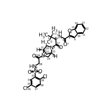 CC(C)(C)[C@H](NC(=O)c1cc2ccccc2o1)C(=O)N1C[C@@H]2C[C@H]1CN2C(=O)CNS(=O)(=O)c1cc(Cl)ccc1Cl